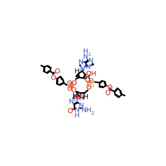 CO[C@H]1[C@H]2OP(=O)(OCc3ccc(OC(=O)c4ccc(C)cc4)cc3)OCC34C[C@@H]3[C@@H](n3cnc5c(N)ncnc53)[C@H](O)[C@@H]4O[P@](=O)(SCc3ccc(OC(=O)c4ccc(C)cc4)cc3)OC[C@H]1O[C@H]2n1cnc2c(=O)[nH]c(N)nc21